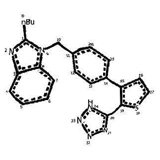 CCCCc1nc2ccccc2n1Cc1ccc(-c2ccsc2-c2nnn[nH]2)cc1